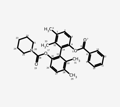 Cc1ccc(OC(=O)c2ccccc2)c(-c2c(OC(=O)N3CCCCC3)ccc(C)c2C)c1C